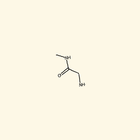 CNC(=O)C[NH]